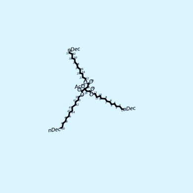 CCCCCCCCCCCCCCCCCCCCCCOC(=O)CC(CC(=O)OCCCCCCCCCCCCCCCCCCCCCC)(OC(C)=O)C(=O)OCCCCCCCCCCCCCCCCCCCCCC